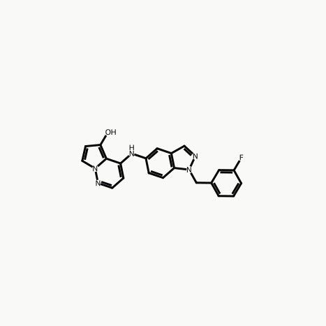 Oc1ccn2nccc(Nc3ccc4c(cnn4Cc4cccc(F)c4)c3)c12